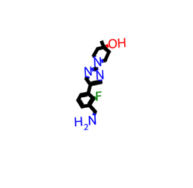 CC1(O)CCN(c2ncc(-c3cccc(CN)c3F)cn2)CC1